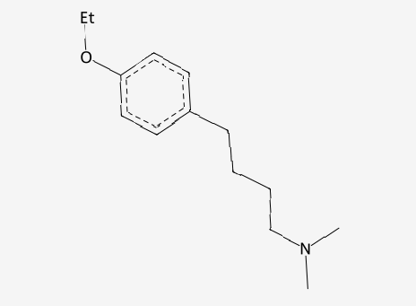 CCOc1ccc(CCCCN(C)C)cc1